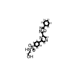 O=S(=O)(NCCO)c1ccc(-c2cncc(-c3nnc(-c4ccccc4)o3)n2)cc1